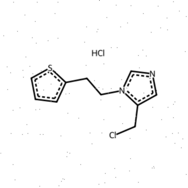 Cl.ClCc1cncn1CCc1cccs1